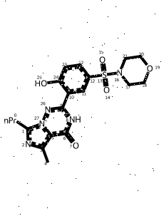 CCCc1nc(C)c2c(=O)[nH]c(-c3cc(S(=O)(=O)N4CCOCC4)ccc3O)nn12